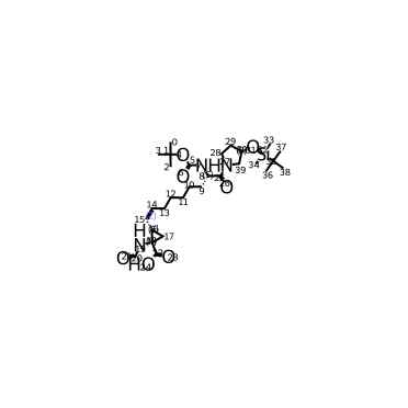 CC(C)(C)OC(=O)N[C@@H](CCCCC/C=C\[C@@H]1C[C@]1(NC=O)C(=O)O)C(=O)N1CC[C@@H](O[Si](C)(C)C(C)(C)C)C1